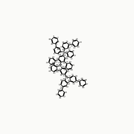 c1ccc(-c2cccc([Si](c3ccccc3)(c3cccc(-c4ccccc4)c3)c3cc(-c4ccccc4)c(-n4c5ccccc5c5cc(-n6c7ccc(-c8ccccc8)cc7c7cc(-c8ccccc8)ccc76)ccc54)c(-c4ccccc4)c3)c2)cc1